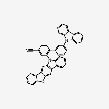 N#Cc1ccc(-c2cccc(-n3c4ccccc4c4ccccc43)c2)c(-n2c3ccccc3c3cc4oc5ccccc5c4cc32)c1